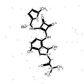 Cc1ccc([C@H](Nc2c(Nc3ccc(Cl)c4c3C(O)N(CC(=O)N(C)C)C4)c(=O)c2=O)C(C)(C)C)o1